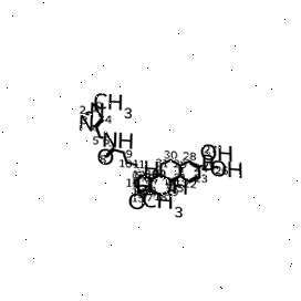 Cn1cnc(CNC(=O)CCC[C@H]2CC(=O)[C@@]3(C)CC[C@@H]4c5ccc(B(O)O)cc5CC[C@H]4[C@H]23)c1